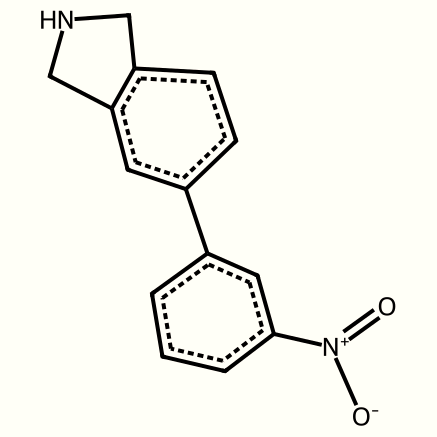 O=[N+]([O-])c1cccc(-c2ccc3c(c2)CNC3)c1